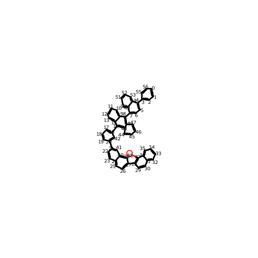 c1ccc(-c2ccc(-c3c4ccccc4c(-c4cccc(-c5ccc6ccc7c8ccc9ccccc9c8oc7c6c5)c4)c4ccccc34)c3ccccc23)cc1